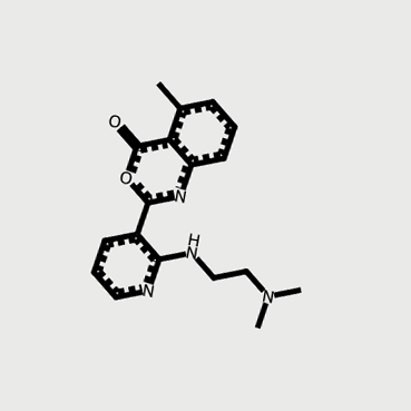 Cc1cccc2nc(-c3cccnc3NCCN(C)C)oc(=O)c12